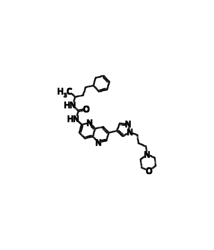 CC(CCC1C=CC=CC1)NC(=O)Nc1ccc2ncc(-c3cnn(CCCN4CCOCC4)c3)cc2n1